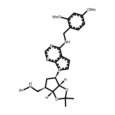 COc1ccc(CNc2ncnc3c2ccn3[C@@H]2C[C@H](CNC(C)C)[C@H]3OC(C)(C)O[C@H]32)c(OC)c1